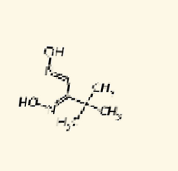 CC(C)(C)C(C=NO)=NO